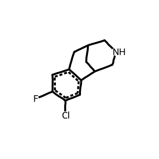 Fc1cc2c(cc1Cl)C1CNCC(C2)C1